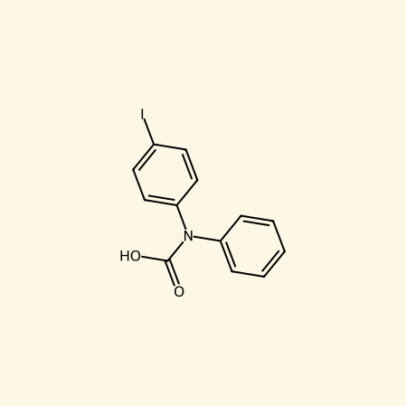 O=C(O)N(c1ccccc1)c1ccc(I)cc1